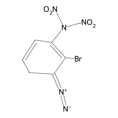 [N-]=[N+]=C1CC=CC(N([N+](=O)[O-])[N+](=O)[O-])=C1Br